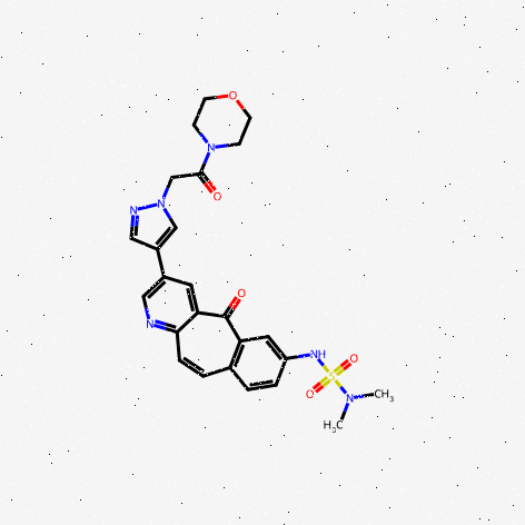 CN(C)S(=O)(=O)Nc1ccc2ccc3ncc(-c4cnn(CC(=O)N5CCOCC5)c4)cc3c(=O)c2c1